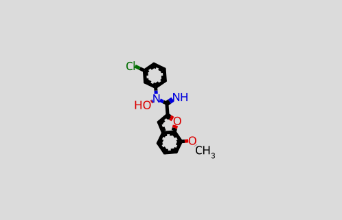 COc1cccc2cc(C(=N)N(O)c3cccc(Cl)c3)oc12